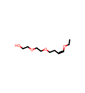 CCO/C=C\CCOCCOCCO